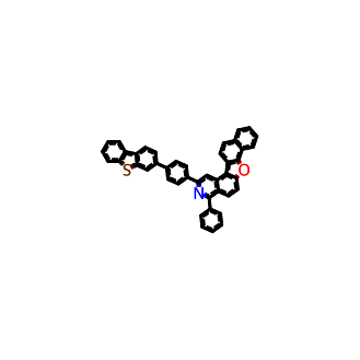 c1ccc(-c2nc(-c3ccc(-c4ccc5c(c4)sc4ccccc45)cc3)cc3c2ccc2oc4c5ccccc5ccc4c23)cc1